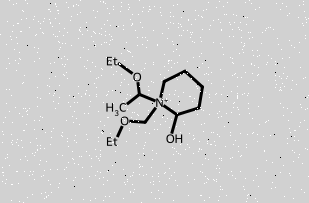 CCOC[N+]1(C(C)OCC)CCCCC1O